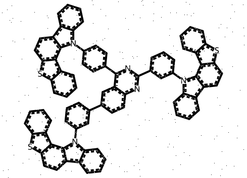 c1cc(-c2ccc3nc(-c4cccc(-n5c6ccccc6c6ccc7sc8ccccc8c7c65)c4)nc(-c4ccc(-n5c6ccccc6c6ccc7sc8ccccc8c7c65)cc4)c3c2)cc(-n2c3ccccc3c3ccc4sc5ccccc5c4c32)c1